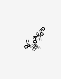 O=C(N[C@@H](Cc1c[nH]c2ccccc12)C(=O)O)c1ccc(-c2ncc(C(=O)Nc3cccc(Oc4ccccc4)c3)s2)cc1